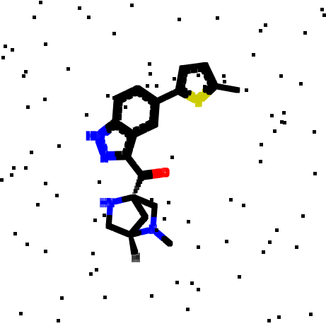 Cc1ccc(-c2ccc3[nH]nc(C(=O)[C@]45C[C@@H](CN4)N(C)C5)c3c2)s1